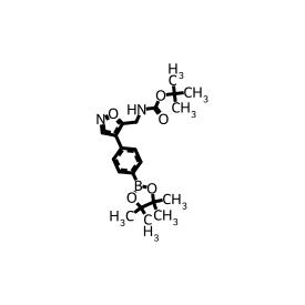 CC(C)(C)OC(=O)NCc1oncc1-c1ccc(B2OC(C)(C)C(C)(C)O2)cc1